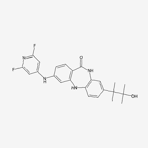 CC(C)(O)C(C)(C)c1ccc2c(c1)NC(=O)c1ccc(Nc3cc(F)nc(F)c3)cc1N2